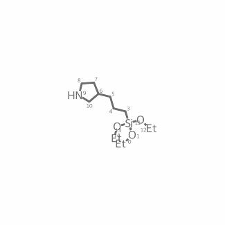 CCO[Si](CCCC1CCNC1)(OCC)OCC